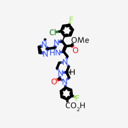 COC(=O)C1=C(CN2CCN3C(=O)N(c4ccc(C(=O)O)c(F)c4)C[C@@H]3C2)NC(c2nccn2C)=N[C@H]1c1ccc(F)cc1Cl